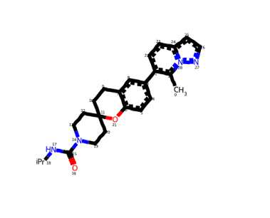 Cc1c(-c2ccc3c(c2)CCC2(CCN(C(=O)NC(C)C)CC2)O3)ccc2ccnn12